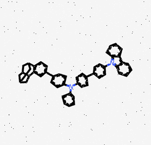 c1ccc(N(c2ccc(-c3ccc(-n4c5ccccc5c5ccccc54)cc3)cc2)c2ccc(-c3ccc4c(c3)C3CC5CC4CC3C5)cc2)cc1